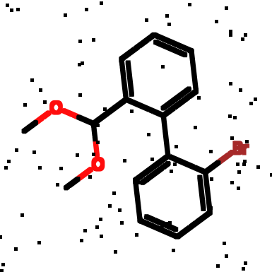 COC(OC)c1ccccc1-c1ccccc1Br